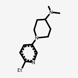 CCc1ccc(N2CCC(N(C)C)CC2)cn1